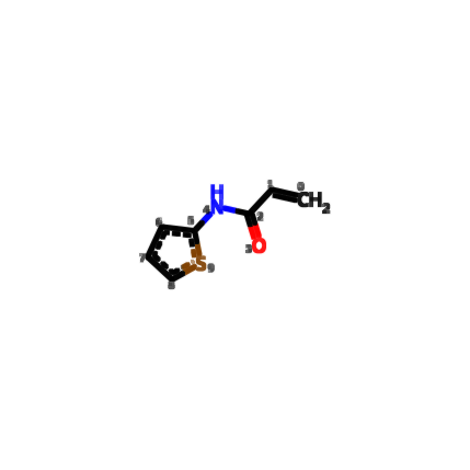 C=CC(=O)Nc1cccs1